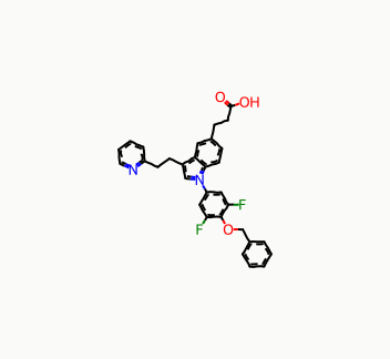 O=C(O)CCc1ccc2c(c1)c(CCc1ccccn1)cn2-c1cc(F)c(OCc2ccccc2)c(F)c1